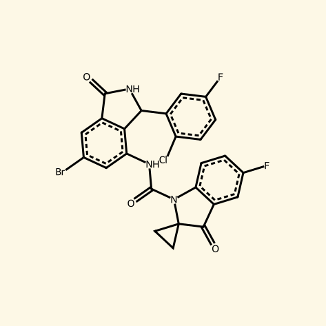 O=C1NC(c2cc(F)ccc2Cl)c2c(NC(=O)N3c4ccc(F)cc4C(=O)C34CC4)cc(Br)cc21